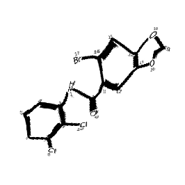 O=C(Nc1cccc(Cl)c1Cl)c1cc2c(cc1Br)OCO2